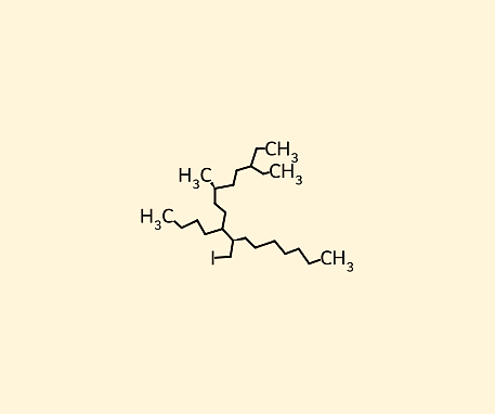 CCCCCCC[C@@H](CI)C(CCCC)CC[C@@H](C)CCC(CC)CC